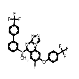 CN(c1cccc(-c2ccc(C(F)(F)F)cc2)c1)c1nc2nncn2c2cc(Oc3ccc(C(F)(F)F)cc3)c(F)cc12